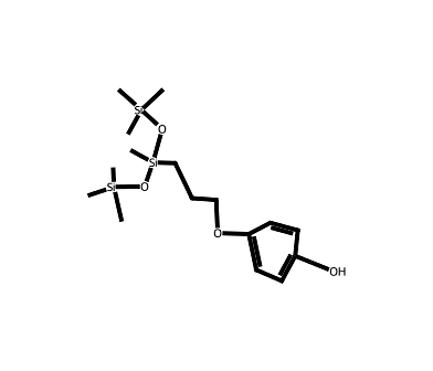 C[Si](C)(C)O[Si](C)(CCCOc1ccc(O)cc1)O[Si](C)(C)C